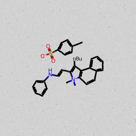 CCCCC1=C(/C=C/Nc2ccccc2)[N+](C)(C)c2ccc3ccccc3c21.Cc1ccc(S(=O)(=O)[O-])cc1